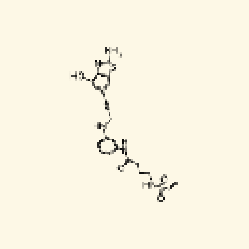 C=CS(=O)(=O)NCCCC(=O)Nc1cccc(NCC#Cc2cc(O)c3nc(N)sc3c2)c1